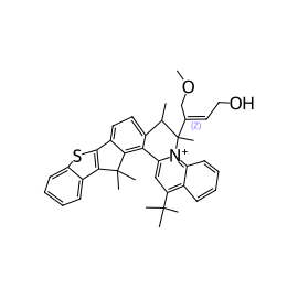 COC/C(=C\CO)C1(C)C(C)c2ccc3c(c2-c2cc(C(C)(C)C)c4ccccc4[n+]21)C(C)(C)c1c-3sc2ccccc12